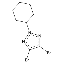 Brc1nn(C2CCCCC2)nc1Br